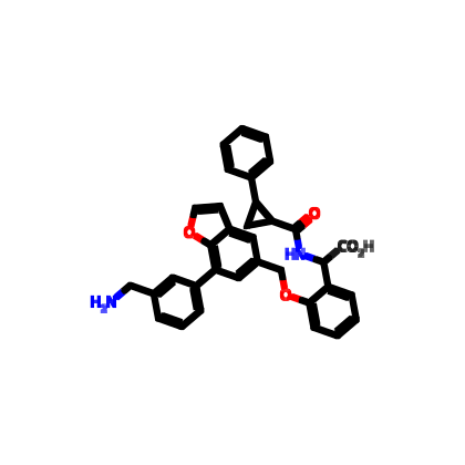 NCc1cccc(-c2cc(COc3ccccc3C(NC(=O)C3CC3c3ccccc3)C(=O)O)cc3ccoc23)c1